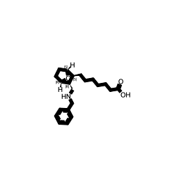 O=C(O)CCCCCC[C@H]1[C@H](CNCc2ccccc2)[C@H]2CC[C@@H]1O2